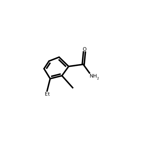 CCc1cccc(C(N)=O)c1C